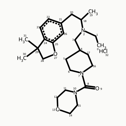 CCN(CC1CCN(C(=O)N2CCOCC2)CC1)C(C)Cc1ccc2c(c1)OCC2(C)C.Cl